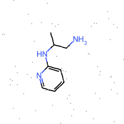 CC(CN)Nc1ccccn1